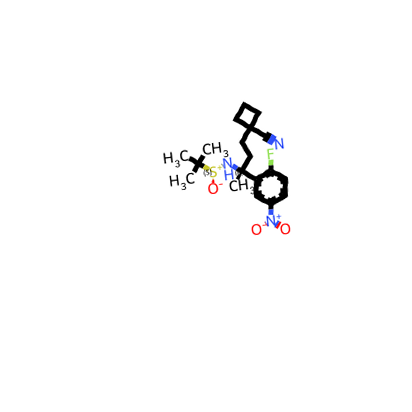 CC(C)(C)[S@@+]([O-])N[C@](C)(CCC1(C#N)CCC1)c1cc([N+](=O)[O-])ccc1F